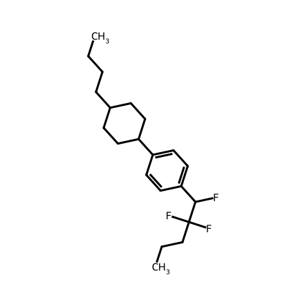 CCCCC1CCC(c2ccc(C(F)C(F)(F)CCC)cc2)CC1